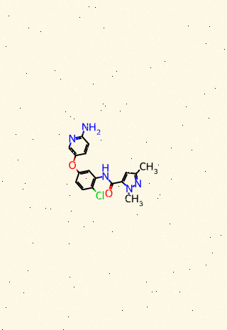 Cc1cc(C(=O)Nc2cc(Oc3ccc(N)nc3)ccc2Cl)n(C)n1